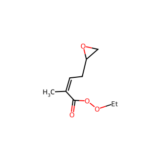 CCOOC(=O)C(C)=CCC1CO1